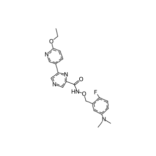 CCOc1ccc(-c2cncc(C(=O)NOCc3cc(N(C)C)ccc3F)n2)cn1